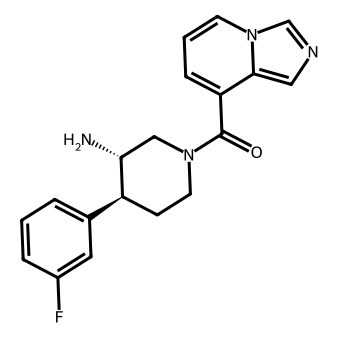 N[C@@H]1CN(C(=O)c2cccn3cncc23)CC[C@H]1c1cccc(F)c1